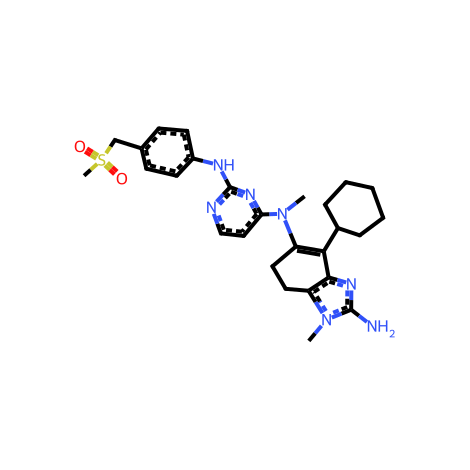 CN(C1=C(C2CCCCC2)c2nc(N)n(C)c2CC1)c1ccnc(Nc2ccc(CS(C)(=O)=O)cc2)n1